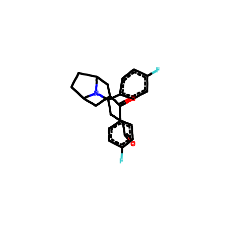 O=CCCC(c1ccc(F)cc1)N1C2CCC1CC(C(=O)c1ccc(F)cc1)C2